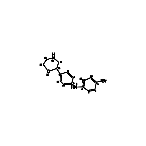 Brc1ccc(Nc2ccc(C3CNCCO3)cc2)nc1